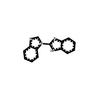 c1ccc2[pH]c(-p3cpc4ccccc43)pc2c1